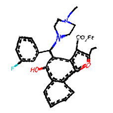 CCOC(=O)c1c(C)oc2c1c(C(c1cccc(F)c1)N1CCN(C)CC1)c(O)c1ccccc12